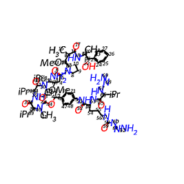 CC[C@H](C)[C@@](N)([C@@H](CC(=O)N1CCC[C@H]1[C@H](OC)[C@@H](C)C(=O)N[C@H](C)[C@@H](O)c1ccccc1)OC)N(C)C(=O)[C@@H](NC(=O)[C@H](C(C)C)N(C)C(=O)OCc1ccc(NC(=O)[C@H](CCCNC(=O)N=NN)NC(=O)[C@@H](N=NN)C(C)C)cc1)C(C)C